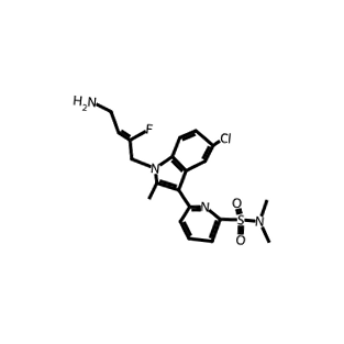 Cc1c(-c2cccc(S(=O)(=O)N(C)C)n2)c2cc(Cl)ccc2n1CC(F)=CCN